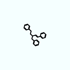 C(=CC(CCc1ccccc1)Cc1ccccc1)c1ccccc1